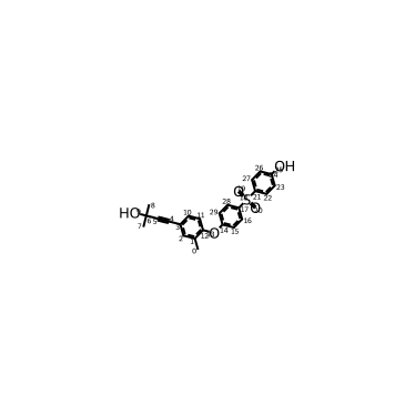 Cc1cc(C#CC(C)(C)O)ccc1Oc1ccc(S(=O)(=O)c2ccc(O)cc2)cc1